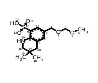 COCOCc1cc2c(c(S(=O)(=O)O)c1)NCC(C)(C)C2